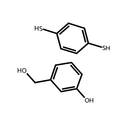 OCc1cccc(O)c1.Sc1ccc(S)cc1